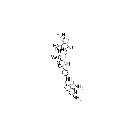 COC(=O)[C@H](CCCNC(=O)c1ccc(N)cc1-c1nnn[nH]1)NC(=O)c1ccc(NCc2ccc3nc(N)nc(N)c3c2Cl)cc1